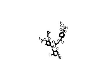 CNS(=O)(=O)c1ccc(C(=O)OCC(=O)O[C@@H](Cc2c(Cl)c[n+]([O-])cc2Cl)c2ccc(OC(F)F)c(OCC3CC3)c2)cc1